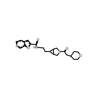 O=C(NCCC1C2CN(C(=O)CC3CCOCC3)CC12)c1cc2ccncc2o1